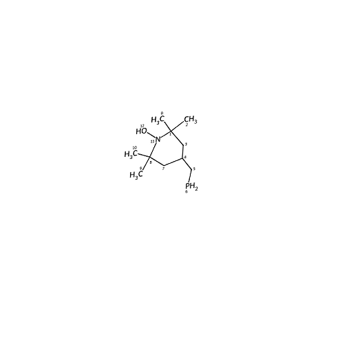 CC1(C)CC(CP)CC(C)(C)N1O